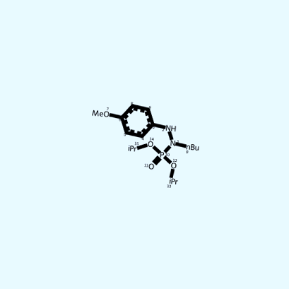 CCCCN(Nc1ccc(OC)cc1)P(=O)(OC(C)C)OC(C)C